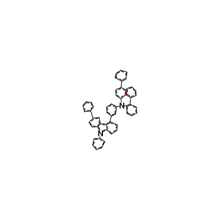 c1ccc(-c2ccc(N(c3cccc(-c4cccc5c4c4cc(-c6ccccc6)ccc4n5-c4ccccc4)c3)c3ccccc3-c3ccccc3)cc2)cc1